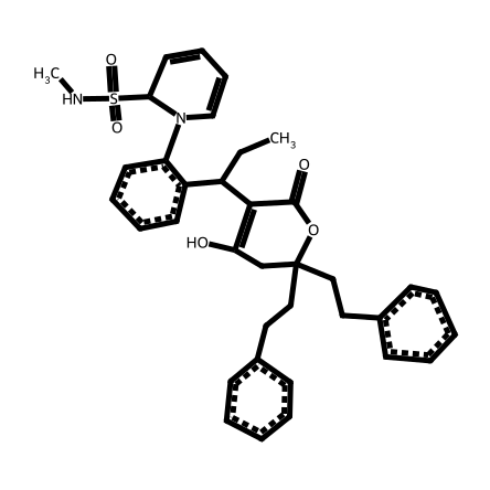 CCC(C1=C(O)CC(CCc2ccccc2)(CCc2ccccc2)OC1=O)c1ccccc1N1C=CC=CC1S(=O)(=O)NC